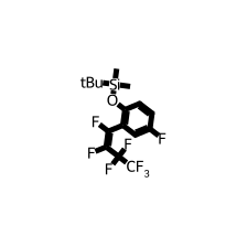 CC(C)(C)[Si](C)(C)Oc1ccc(F)cc1/C(F)=C(/F)C(F)(F)C(F)(F)F